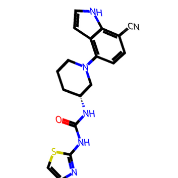 N#Cc1ccc(N2CCC[C@@H](NC(=O)Nc3nccs3)C2)c2cc[nH]c12